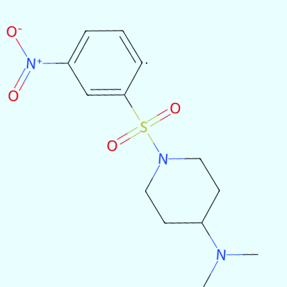 CN(C)C1CCN(S(=O)(=O)c2[c]ccc([N+](=O)[O-])c2)CC1